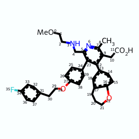 COCCNCc1nc(C)c(CC(=O)O)c(-c2ccc3c(c2)CCCO3)c1-c1ccc(OCCc2ccc(F)cc2)cc1